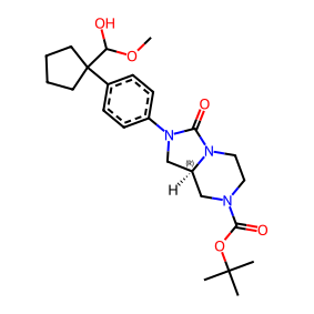 COC(O)C1(c2ccc(N3C[C@@H]4CN(C(=O)OC(C)(C)C)CCN4C3=O)cc2)CCCC1